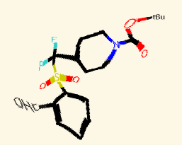 CC(C)(C)OC(=O)N1CCC(C(F)(F)S(=O)(=O)c2ccccc2C=O)CC1